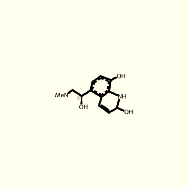 CNC[C@H](O)c1ccc(O)c2c1C=CC(O)N2